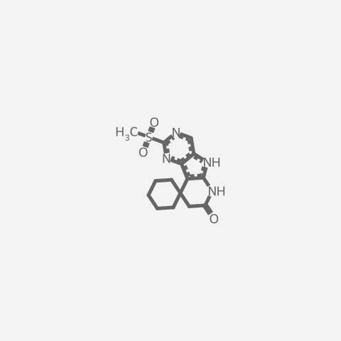 CS(=O)(=O)c1ncc2[nH]c3c(c2n1)C1(CCCCC1)CC(=O)N3